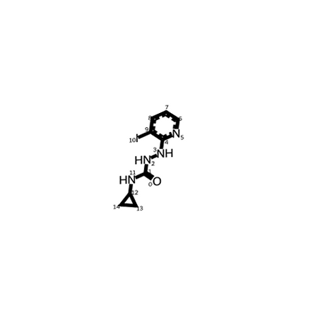 O=C(NNc1ncccc1I)NC1CC1